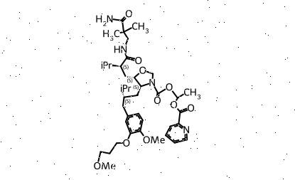 COCCCOc1cc(C[C@@H](C[C@H]2[C@H](C[C@H](C(=O)NCC(C)(C)C(N)=O)C(C)C)OCN2C(=O)OC(C)OC(=O)c2ccccn2)C(C)C)ccc1OC